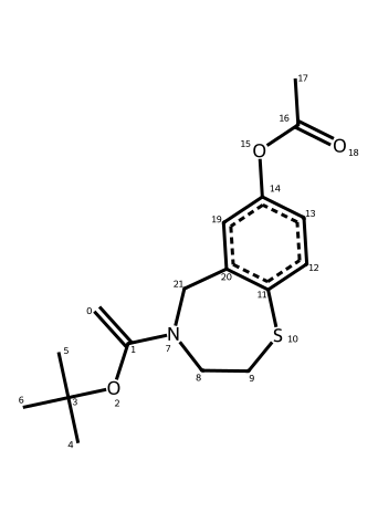 C=C(OC(C)(C)C)N1CCSc2ccc(OC(C)=O)cc2C1